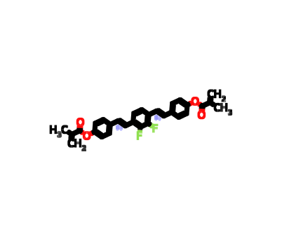 C=C(C)C(=O)Oc1ccc(/C=C/c2ccc(/C=C/c3ccc(OC(=O)C(=C)C)cc3)c(F)c2F)cc1